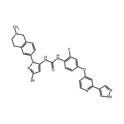 CC(C)c1cc(NC(=O)Nc2ccc(Oc3ccnc(-c4cn[nH]c4)c3)cc2F)n(-c2ccc3c(c2)CCN(C)C3)n1